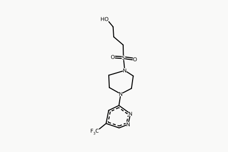 O=S(=O)(CCCO)N1CCN(c2cc(C(F)(F)F)cnn2)CC1